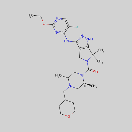 CCOc1ncc(F)c(Nc2n[nH]c3c2CN(C(=O)N2CC(C)N(CC4CCOCC4)C[C@@H]2C)C3(C)C)n1